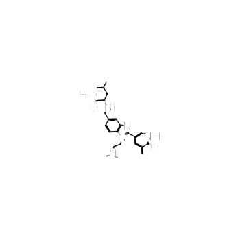 Cc1cc(-c2nc3cc(CNC(CC(C)C)C(=O)O)ccc3n2CCN(C)C)c[nH]c1=O